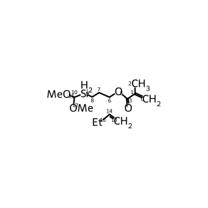 C=C(C)C(=O)OCCC[SiH2]C(OC)OC.C=CCC